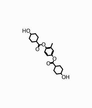 Cc1cc(OC(=O)C2CCC(O)CC2)ccc1OC(=O)C1CCC(O)CC1